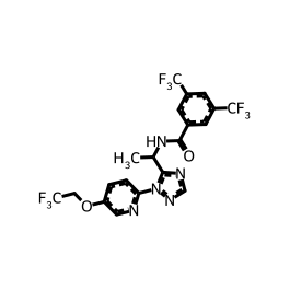 CC(NC(=O)c1cc(C(F)(F)F)cc(C(F)(F)F)c1)c1ncnn1-c1ccc(OCC(F)(F)F)cn1